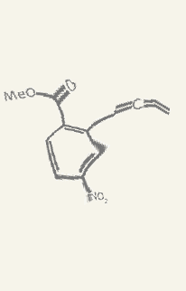 C=C=Cc1cc([N+](=O)[O-])ccc1C(=O)OC